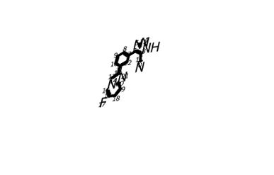 N#Cc1[nH]nnc1-c1cccc(-c2cn3cc(F)ccc3n2)c1